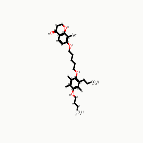 CCCc1c(OCCCCCOc2c(C)c(C)c(OCCCC(=O)O)c(C)c2CCC(=O)O)ccc2c1OCCC2=O